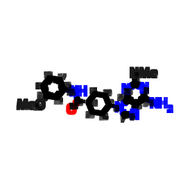 CNc1nc(N)c2ncn([C@H]3CC[C@@H](C(=O)Nc4cccc(OC)c4)CC3)c2n1